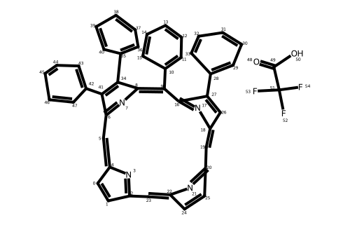 C1=CC2=NC1=CC1=NC(=C(c3ccccc3)C3=NC(=CC4=NC(=C2)C=C4)C=C3c2ccccc2)C(c2ccccc2)=C1c1ccccc1.O=C(O)C(F)(F)F